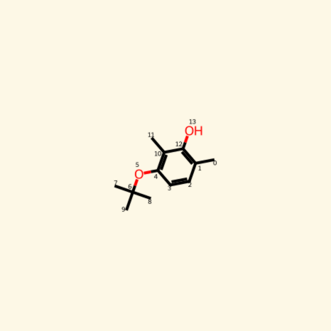 Cc1ccc(OC(C)(C)C)c(C)c1O